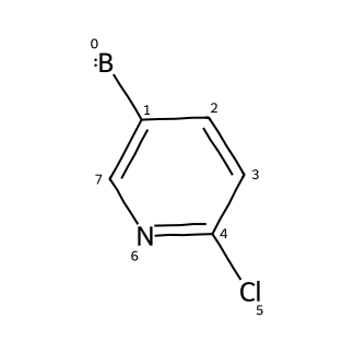 [B]c1ccc(Cl)nc1